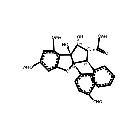 COC(=O)[C@H]1[C@@H](O)[C@@]2(O)c3c(OC)cc(OC)cc3O[C@@]2(c2ccc(C=O)cc2)[C@@H]1c1ccccc1